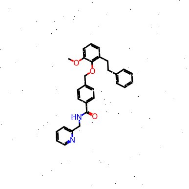 COc1cccc(CCc2ccccc2)c1OCc1ccc(C(=O)NCc2ccccn2)cc1